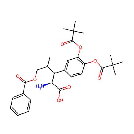 CC(COC(=O)c1ccccc1)C(c1ccc(OC(=O)C(C)(C)C)c(OC(=O)C(C)(C)C)c1)[C@H](N)C(=O)O